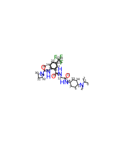 CC(C)N(C)C1CCC(NC(=O)CNC(=O)c2cc(C(F)(F)F)ccc2NC(=O)N2CCC2)CC1